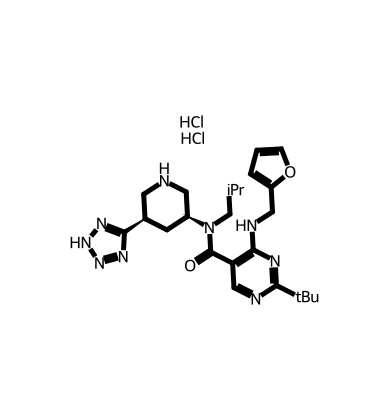 CC(C)CN(C(=O)c1cnc(C(C)(C)C)nc1NCc1ccco1)[C@@H]1CNC[C@H](c2nn[nH]n2)C1.Cl.Cl